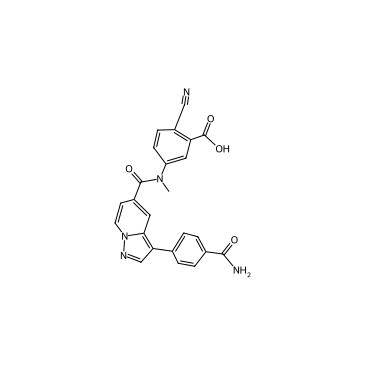 CN(C(=O)c1ccn2ncc(-c3ccc(C(N)=O)cc3)c2c1)c1ccc(C#N)c(C(=O)O)c1